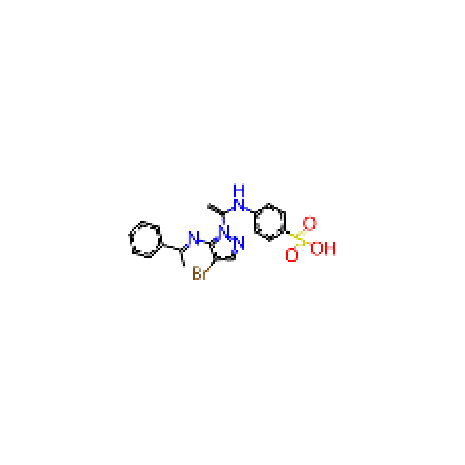 C=C(Nc1ccc(S(=O)(=O)O)cc1)n1ncc(Br)c1/N=C(\C)c1ccccc1